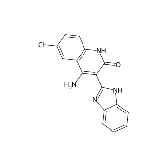 Nc1c(-c2nc3ccccc3[nH]2)c(=O)[nH]c2ccc(Cl)cc12